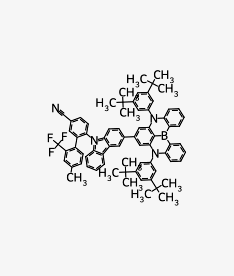 Cc1ccc(-c2cc(C#N)ccc2-n2c3ccccc3c3cc(-c4cc5c6c(c4)N(c4cc(C(C)(C)C)cc(C(C)(C)C)c4)c4ccccc4B6c4ccccc4N5c4cc(C(C)(C)C)cc(C(C)(C)C)c4)ccc32)c(C(F)(F)F)c1